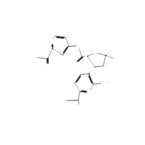 COc1nc(C(F)F)ccc1[C@H]1[C@@H](C(=O)Nc2ccnc(C(N)=O)c2)O[C@@](C)(C(F)(F)F)[C@@H]1C